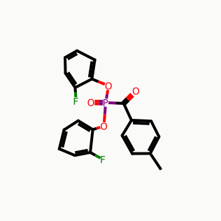 Cc1ccc(C(=O)P(=O)(Oc2ccccc2F)Oc2ccccc2F)cc1